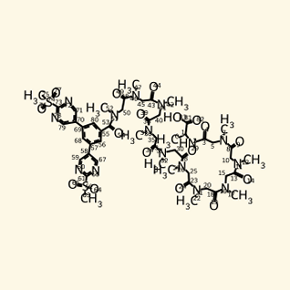 C[C@H](NC(=O)CN(C)C(=O)CN(C)C(=O)CN(C)C(=O)CN(C)C(=O)CN(C)C(=O)CN(C)C(=O)CN(C)C(=O)CN(C)C(=O)CN(C)C(=O)CN(C)C(=O)c1cc(-c2cnc(S(C)(=O)=O)nc2)cc(-c2cnc(S(C)(=O)=O)nc2)c1)C(=O)O